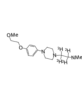 [2H]C([2H])(NC)C([2H])([2H])N1CCN(c2ccc(OCCOC)cc2)CC1